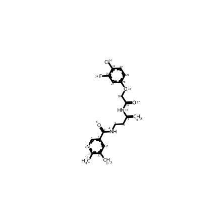 C=C(CCNC(=O)c1cnc(C)c(C)c1)NC(=O)COc1ccc(Cl)c(F)c1